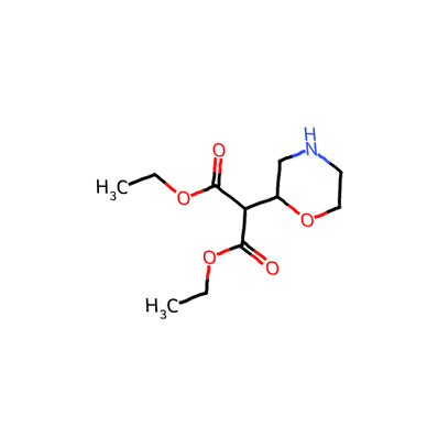 CCOC(=O)C(C(=O)OCC)C1CNCCO1